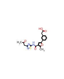 CC(=O)Cc1nsc(NC(=O)c2cc(-c3cccc(CC(=O)O)c3)oc2C)n1